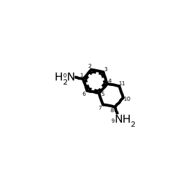 Nc1ccc2c(c1)CC(N)CC2